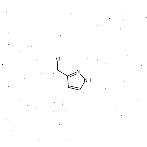 ClCc1c[c][nH]n1